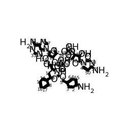 Nc1ccc(COC(=O)N[C@@H](CCc2ccccc2)C(=O)O[C@H]2[C@@H](O)[C@H](n3cnc4c(N)ncnc43)O[C@@H]2COP(=O)(O)O[C@H]2[C@@H](O)[C@H](n3ccc(N)nc3=O)O[C@@H]2COP(=O)(O)O)cc1